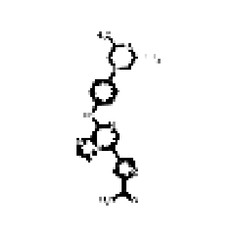 C[C@@H]1CN(c2ccc(Nc3ncc(-c4csc(C(N)=O)c4)n4ncnc34)cc2)C[C@@H](C)O1